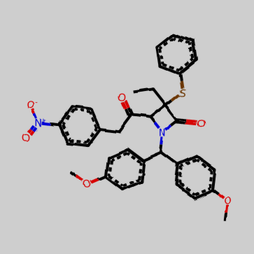 CCC1(Sc2ccccc2)C(=O)N(C(c2ccc(OC)cc2)c2ccc(OC)cc2)C1C(=O)Cc1ccc([N+](=O)[O-])cc1